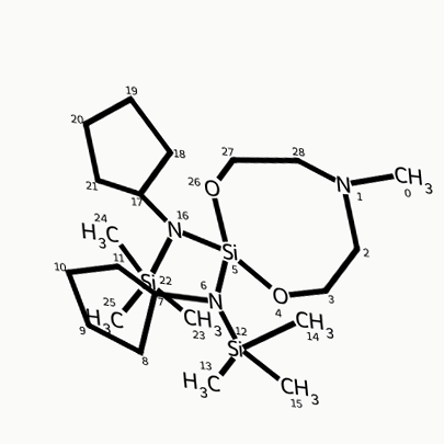 CN1CCO[Si](N(C2CCCC2)[Si](C)(C)C)(N(C2CCCC2)[Si](C)(C)C)OCC1